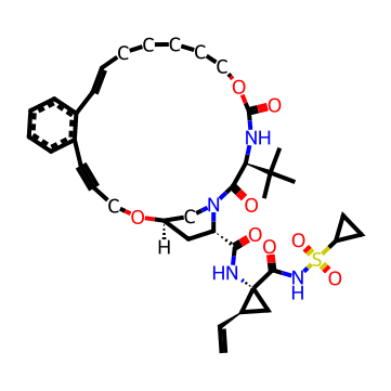 C=C[C@@H]1C[C@]1(NC(=O)[C@@H]1C[C@@H]2CN1C(=O)[C@H](C(C)(C)C)NC(=O)OCCCCC/C=C/c1ccccc1C#CCO2)C(=O)NS(=O)(=O)C1CC1